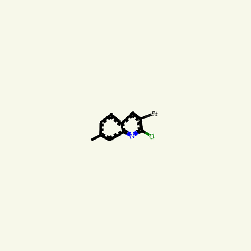 CCc1cc2ccc(C)cc2nc1Cl